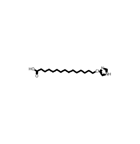 CCCCCCCCCCCCCCCC(=O)O.c1c[nH]cn1